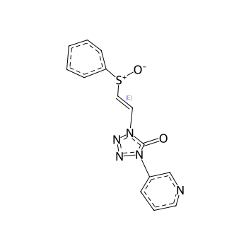 O=c1n(/C=C/[S+]([O-])c2ccccc2)nnn1-c1cccnc1